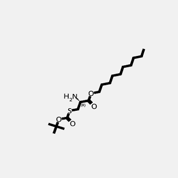 CCCCCCCCCCOC(=O)[C@@H](N)CSC(=O)OC(C)(C)C